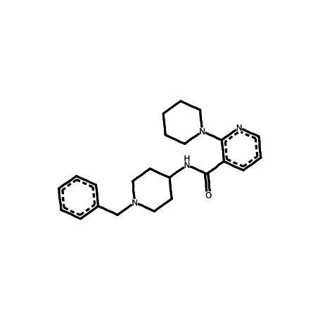 O=C(NC1CCN(Cc2ccccc2)CC1)c1cccnc1N1CCCCC1